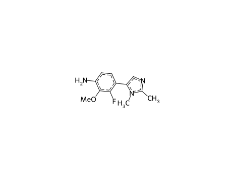 COc1c(N)ccc(-c2cnc(C)n2C)c1F